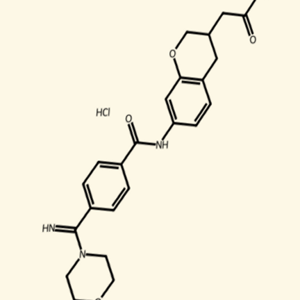 Cl.N=C(c1ccc(C(=O)Nc2ccc3c(c2)OCC(CC(=O)O)C3)cc1)N1CCOCC1